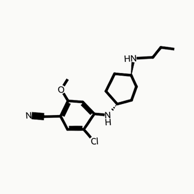 CCCN[C@H]1CC[C@H](Nc2cc(OC)c(C#N)cc2Cl)CC1